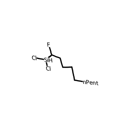 CCCCCCCCCC(F)[SiH](Cl)Cl